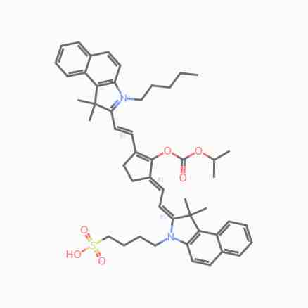 CCCCC[N+]1=C(/C=C/C2=C(OC(=O)OC(C)C)C(=C/C=C3/N(CCCCS(=O)(=O)O)c4ccc5ccccc5c4C3(C)C)/CC2)C(C)(C)c2c1ccc1ccccc21